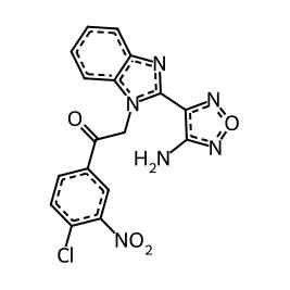 Nc1nonc1-c1nc2ccccc2n1CC(=O)c1ccc(Cl)c([N+](=O)[O-])c1